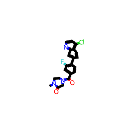 CN1CCN(C(=O)c2ccc(-c3ccc4c(Cl)ccnc4c3)c(F)c2)CC1=O